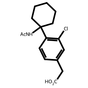 CC(=O)NC1(c2ccc(CC(=O)O)cc2Cl)CCCCC1